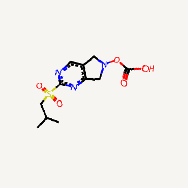 CC(C)CS(=O)(=O)c1ncc2c(n1)CN(OC(=O)O)C2